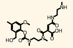 CNCCNC(=O)C=C(C(=O)O)C(=O)N(C)CCN(C)C(=O)Oc1c(CO)cc(C)cc1OC